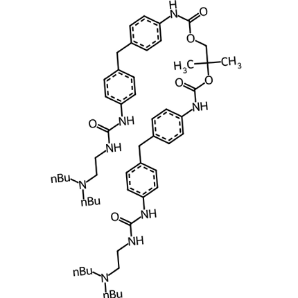 CCCCN(CCCC)CCNC(=O)Nc1ccc(Cc2ccc(NC(=O)OCC(C)(C)OC(=O)Nc3ccc(Cc4ccc(NC(=O)NCCN(CCCC)CCCC)cc4)cc3)cc2)cc1